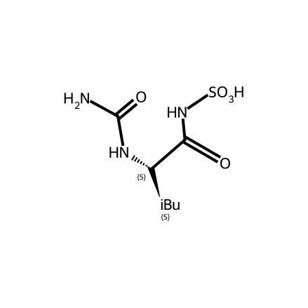 CC[C@H](C)[C@H](NC(N)=O)C(=O)NS(=O)(=O)O